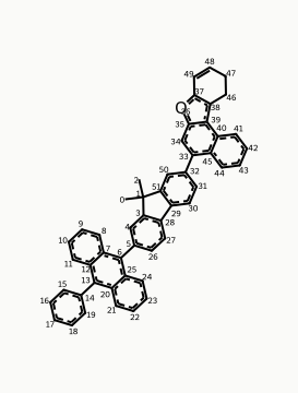 CC1(C)c2cc(-c3c4ccccc4c(-c4ccccc4)c4ccccc34)ccc2-c2ccc(-c3cc4oc5c(c4c4ccccc34)CCC=C5)cc21